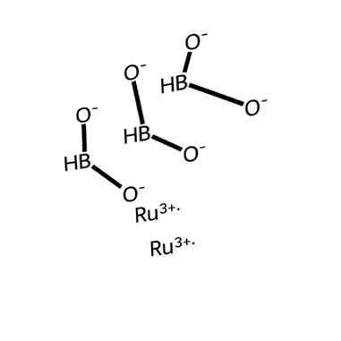 [O-]B[O-].[O-]B[O-].[O-]B[O-].[Ru+3].[Ru+3]